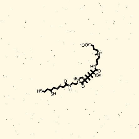 CC(C)(C)CC(C)(C(=O)OCCNC(=O)CCCCC(S)CCS)C(C)(C)C(C)(C)C(C)(C(=O)NCCC[N+](C)(C)CCCC(=O)[O-])C(C)(C)C